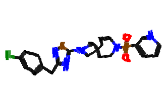 O=S(=O)(c1cccnc1)N1CCC2(CC1)CN(c1nc(Cc3ccc(F)cc3)ns1)C2